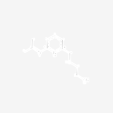 CC(C)=Nc1cccc(CSCCC#N)n1